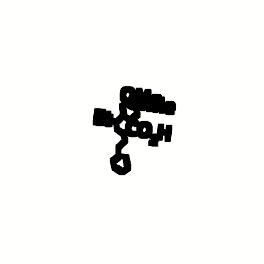 CCC(CC(CCc1ccccc1)C(=O)O)c1ccc(OC)c(OC)c1